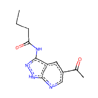 CCCC(=O)Nc1n[nH]c2ncc(C(C)=O)cc12